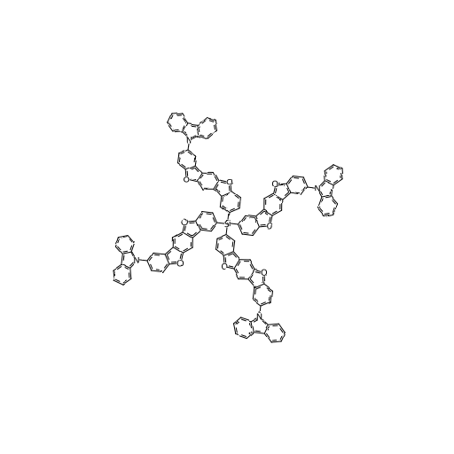 c1ccc2c(c1)c1ccccc1n2-c1ccc2oc3cc4c(cc3c2c1)oc1ccc([Si](c2ccc3oc5cc6c(cc5c3c2)oc2ccc(-n3c5ccccc5c5ccccc53)cc26)(c2ccc3oc5cc6c(cc5c3c2)oc2ccc(-n3c5ccccc5c5ccccc53)cc26)c2ccc3oc5cc6c(cc5c3c2)oc2ccc(-n3c5ccccc5c5ccccc53)cc26)cc14